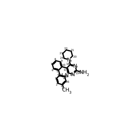 Cc1ccc(-c2ccccc2-c2c(N)nc(N)nc2N2CCCCC2)cc1